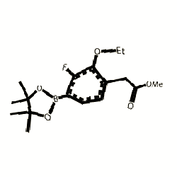 CCOc1c(CC(=O)OC)ccc(B2OC(C)(C)C(C)(C)O2)c1F